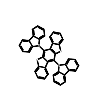 c1ccc2c(c1)B(c1c3sc4ccccc4c3c(B3c4ccccc4-c4ccccc43)c3sc4ccccc4c13)c1ccccc1-2